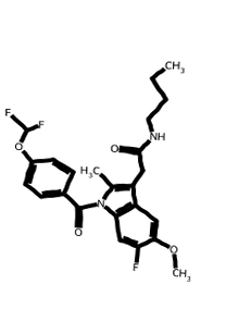 CCCCNC(=O)Cc1c(C)n(C(=O)c2ccc(OC(F)F)cc2)c2cc(F)c(OC)cc12